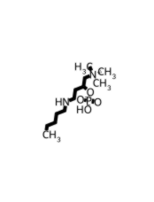 CCCCCNCCC(C[N+](C)(C)C)OP(=O)([O-])O